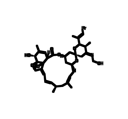 CC1=C[C@H]2C(=O)O[C@H]3C[C@@H](C/C=C(\C)C[C@@H](C)/C=C/C=C4\CO[C@H]([C@@H]1O)[C@@]42O)O[C@@]1(C/C(=N\CO)[C@H](C)C(/C(C)=C/C(C)C)O1)C3